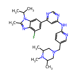 Cc1nc2c(F)cc(-c3cc(Nc4ccc(CN5CC(C)N(C)C(C)C5)cn4)ncn3)cc2n1C(C)C